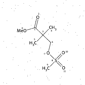 COC(=O)C(C)(C)COS(C)(=O)=O